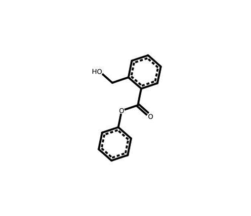 O=C(Oc1ccccc1)c1ccccc1CO